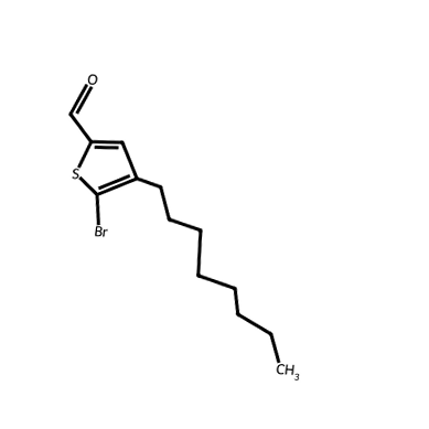 CCCCCCCCc1cc(C=O)sc1Br